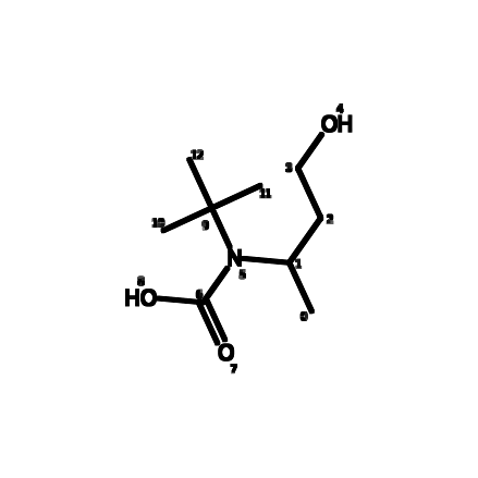 CC(CCO)N(C(=O)O)C(C)(C)C